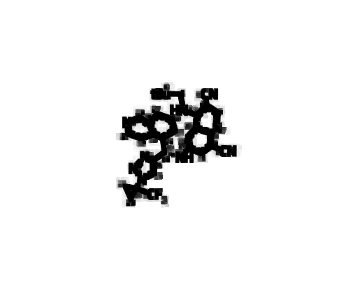 CC(C)(C)CNc1c(C#N)cnc2c(C#N)cc(N[C@H](c3cn(C4(C(F)(F)F)CC4)nn3)c3cccc4cnccc34)cc12